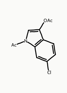 CC(=O)Oc1cn(C(C)=O)c2cc(Cl)ccc12